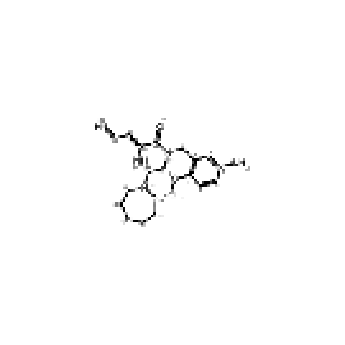 COc1ccc(N)cc1CN(CCN1CCCCCC1)C(=O)/C(N)=C/C=N